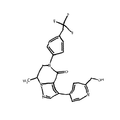 CC1CN(c2ccc(C(F)(F)F)cc2)C(=O)c2c(-c3ccnc(CO)c3)cnn21